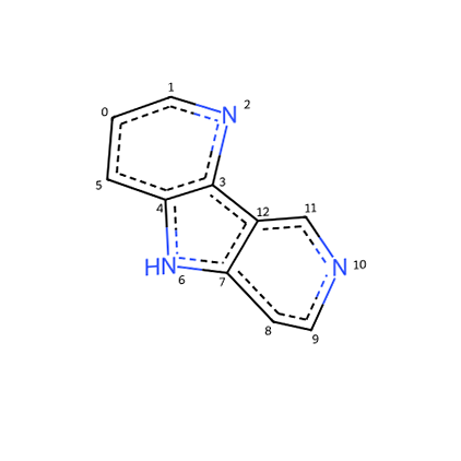 c1cnc2c(c1)[nH]c1ccncc12